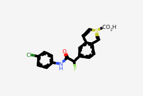 O=C(Nc1ccc(Cl)cc1)C(F)c1ccc2c(c1)C=CS(C(=O)O)=[C]2